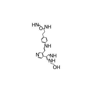 N=COC(=N)CCc1ccc(N/C=C/c2cnccc2/C(C=N)=C/NCCO)cc1